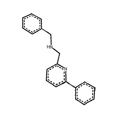 c1ccc(CNCc2cccc(-c3ccccc3)n2)cc1